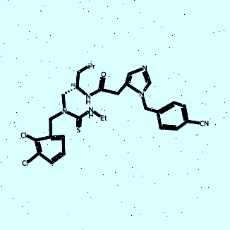 CCNC(=S)N(Cc1cccc(Cl)c1Cl)C[C@H](CC(C)C)NC(=O)Cc1cncn1Cc1ccc(C#N)cc1